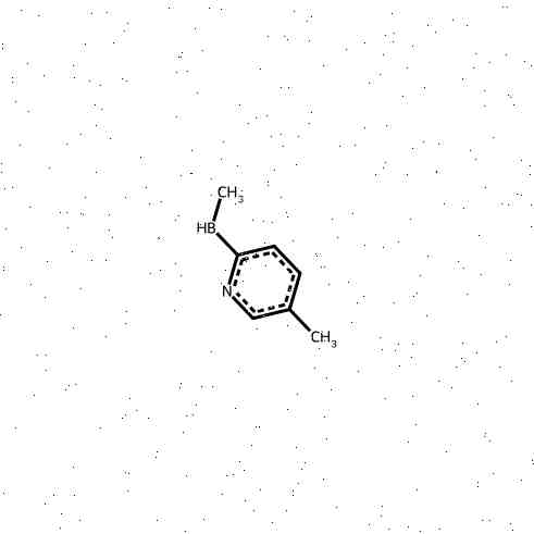 CBc1ccc(C)cn1